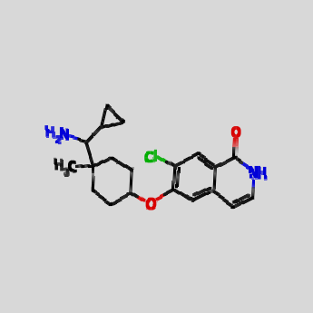 CC1(C(N)C2CC2)CCC(Oc2cc3cc[nH]c(=O)c3cc2Cl)CC1